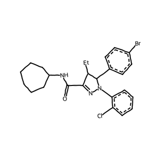 CCC1C(C(=O)NC2CCCCCC2)=NN(c2ccccc2Cl)C1c1ccc(Br)cc1